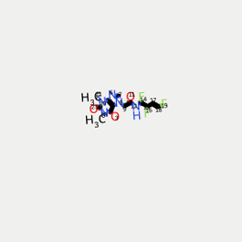 Cn1c(=O)c2c(ncn2CC(=O)NC(F)C(F)C=CF)n(C)c1=O